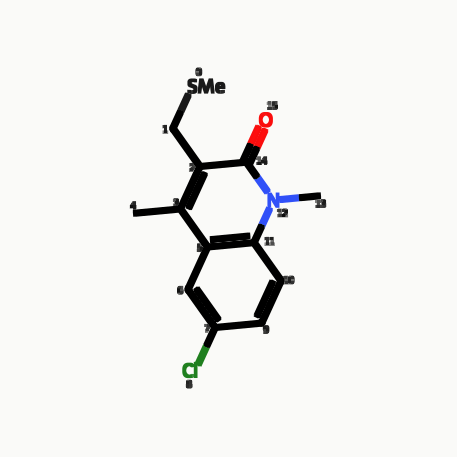 CSCc1c(C)c2cc(Cl)ccc2n(C)c1=O